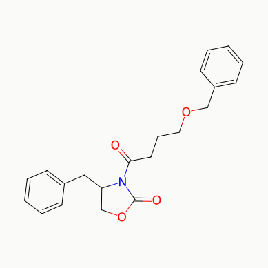 O=C(CCCOCc1ccccc1)N1C(=O)OCC1Cc1ccccc1